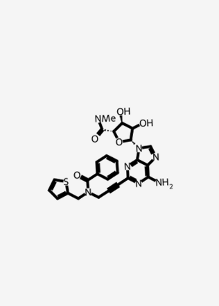 CNC(=O)[C@H]1O[C@@H](n2cnc3c(N)nc(C#CCN(Cc4cccs4)C(=O)c4ccccc4)nc32)C(O)[C@@H]1O